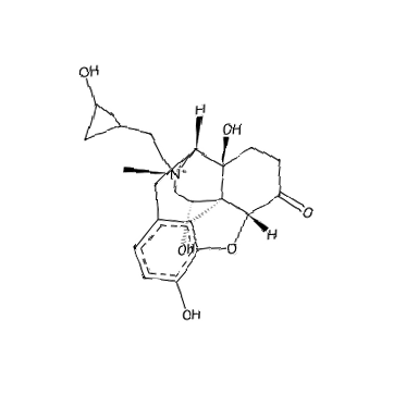 C[N@+]1(CC2CC2O)C[C@@H](O)[C@]23c4c5ccc(O)c4O[C@H]2C(=O)CC[C@@]3(O)[C@H]1C5